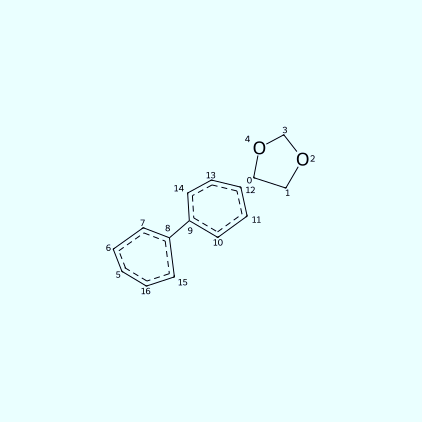 C1COCO1.c1ccc(-c2ccccc2)cc1